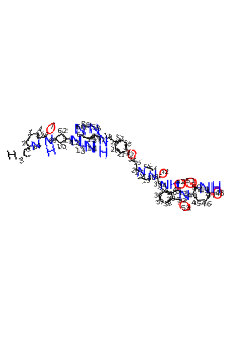 Cc1cccc(C(=O)NC2CC(n3cnc4c(NCc5ccc(OCCCN6CCN(C(=O)CNc7cccc8c7C(=O)N([C@H]7CCC(=O)NC7=O)C8=O)CC6)cc5)ncnc43)C2)n1